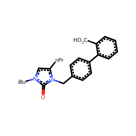 CCCc1cn(C(C)CC)c(=O)n1Cc1ccc(-c2ccccc2C(=O)O)cc1